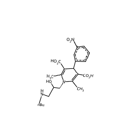 CCCCNCC(O)CN1C(C)=C(C(=O)O)C(c2cccc([N+](=O)[O-])c2)C(C(=O)O)=C1C